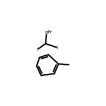 CCCC(I)I.Cc1ccccc1